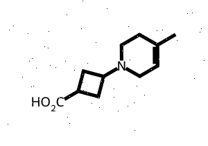 CC1=CCN(C2CC(C(=O)O)C2)CC1